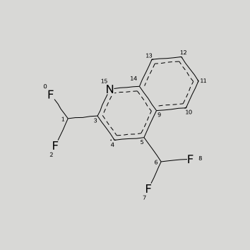 FC(F)c1[c]c(C(F)F)c2ccccc2n1